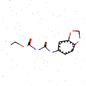 CCOC(=O)NC(=S)Nc1ccc2c(c1)OCO2